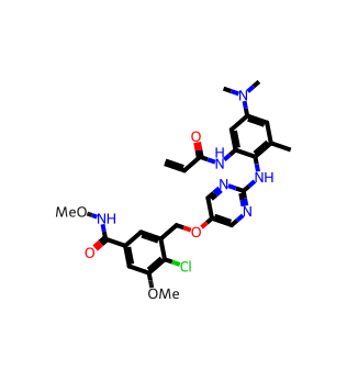 C=CC(=O)Nc1cc(N(C)C)cc(C)c1Nc1ncc(OCc2cc(C(=O)NOC)cc(OC)c2Cl)cn1